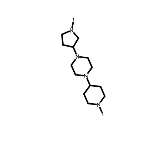 IN1CCC(N2CCN(C3CCN(I)C3)CC2)CC1